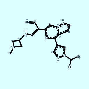 CCC(CC)n1cc(-c2nc(/C(C=N)=C/NC3CN(C)C3)cn3nccc23)cn1